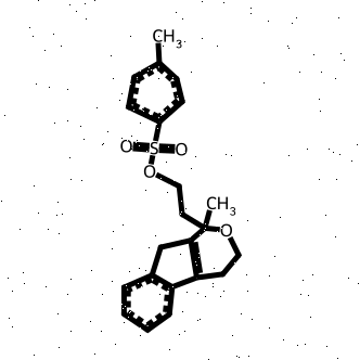 Cc1ccc(S(=O)(=O)OCCC2(C)OCCC3=C2Cc2ccccc23)cc1